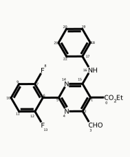 CCOC(=O)c1c(C=O)nc(-c2c(F)cccc2F)nc1Nc1ccccc1